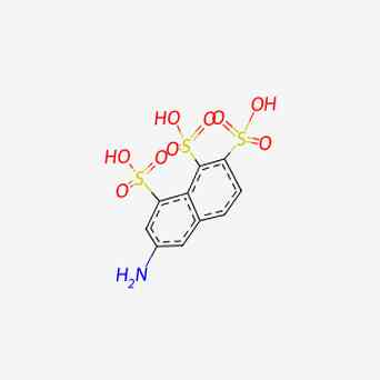 Nc1cc(S(=O)(=O)O)c2c(S(=O)(=O)O)c(S(=O)(=O)O)ccc2c1